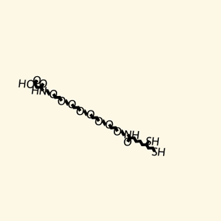 O=C(O)CC(=O)NCCOCCOCCOCCOCCOCCOCCOCCOCCNC(=O)CCCCC(S)CCS